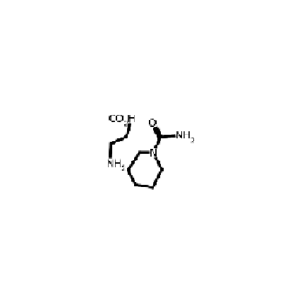 NC(=O)N1CCCCC1.NCCC(=O)O